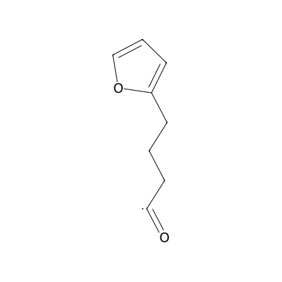 O=[C]CCCc1ccco1